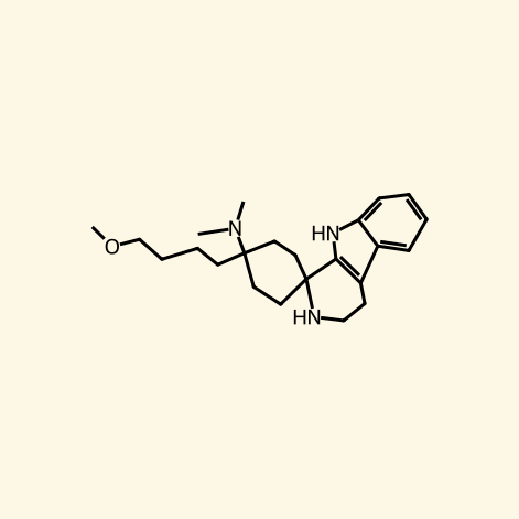 COCCCCC1(N(C)C)CCC2(CC1)NCCc1c2[nH]c2ccccc12